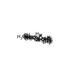 Cc1cc(-c2nn3c(c2C#N)Nc2ccc(N4CCN(C(=O)OC(C)(C)C)CC4)cc2CC3)ccc1C(=O)Nc1cc(C(F)(F)F)ccn1